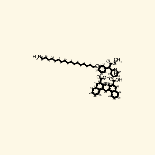 CCCCCCCCCCCCCCCCCCN.COC(=O)C(c1ccccc1)C1CCCCN1.O=C(O)c1cc2ccccc2c(Cc2c(O)c(C(=O)O)cc3ccccc23)c1O